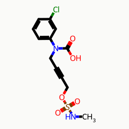 CNS(=O)(=O)OCC#CCN(C(=O)O)c1cccc(Cl)c1